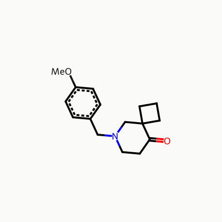 COc1ccc(CN2CCC(=O)C3(CCC3)C2)cc1